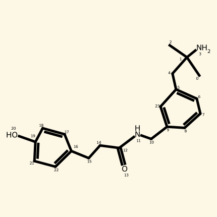 CC(C)(N)Cc1cccc(CNC(=O)CCc2ccc(O)cc2)c1